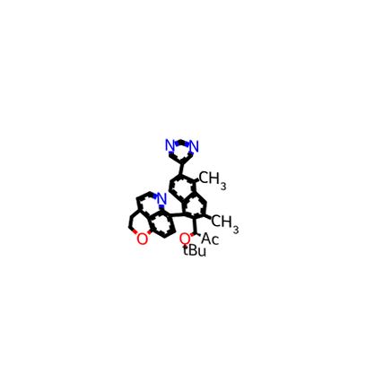 CC(=O)[C@@H](OC(C)(C)C)c1c(C)cc2c(C)c(-c3cncnc3)ccc2c1-c1ccc2c3c(ccnc13)CCO2